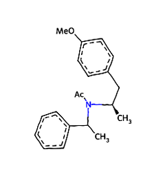 COc1ccc(C[C@@H](C)N(C(C)=O)C(C)c2ccccc2)cc1